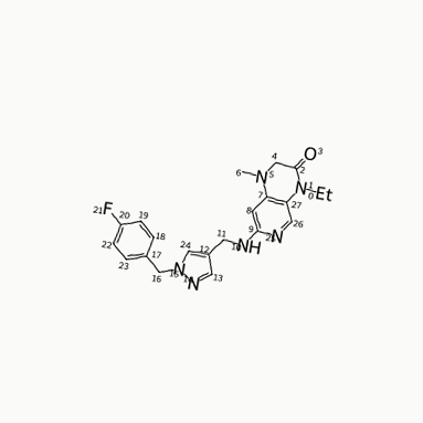 CCN1C(=O)CN(C)c2cc(NCc3cnn(Cc4ccc(F)cc4)c3)ncc21